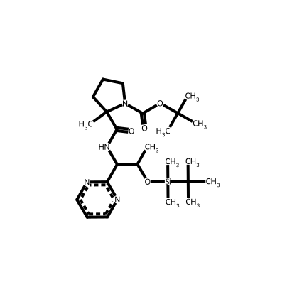 CC(O[Si](C)(C)C(C)(C)C)C(NC(=O)C1(C)CCCN1C(=O)OC(C)(C)C)c1ncccn1